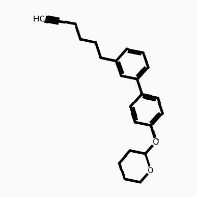 C#CCCCCc1cccc(-c2ccc(OC3CCCCO3)cc2)c1